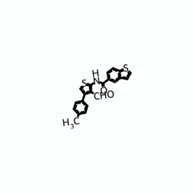 Cc1ccc(-c2csc(NC(=O)c3ccc4sccc4c3)c2C=O)cc1